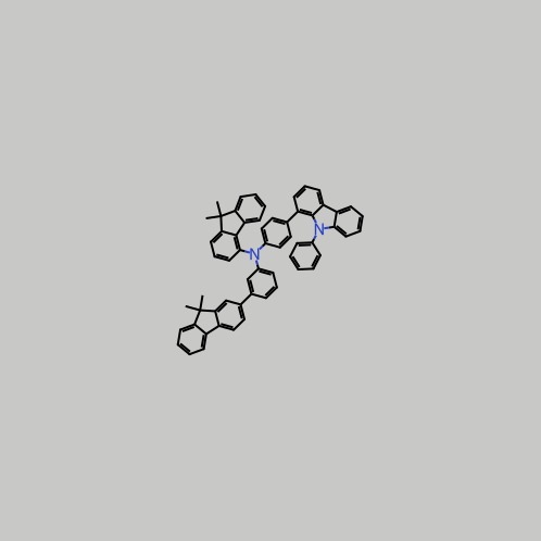 CC1(C)c2ccccc2-c2ccc(-c3cccc(N(c4ccc(-c5cccc6c7ccccc7n(-c7ccccc7)c56)cc4)c4cccc5c4-c4ccccc4C5(C)C)c3)cc21